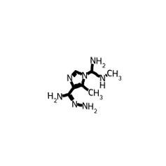 CNC(N)n1cnc(/C(N)=N\N)c1C